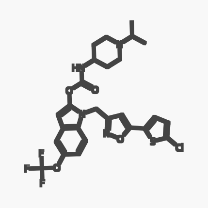 CC(C)N1CCC(NC(=O)Oc2cc3cc(OC(F)(F)F)ccc3n2Cc2cc(-c3ccc(Cl)s3)on2)CC1